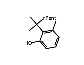 CCCCCC(C)(C)c1c(C)cccc1O